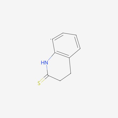 S=C1CCc2ccc[c]c2N1